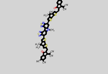 Cn1c2cc(-c3cc4c(s3)-c3sc(/C=C5\C(=O)c6cc(C#N)c(C#N)cc6C5=C(C#N)C#N)cc3C4(C)C)c3nsnc3c2c2c3nsnc3c(-c3cc4c(s3)-c3sc(/C=C5\C(=O)c6cc(C#N)c(C#N)cc6C5=C(C#N)C#N)cc3C4(C)C)cc21